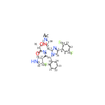 CC(=O)N1CC([C@H](c2nc(-c3cc(F)ccc3F)cn2Cc2ccccc2)N(C[C@@H]2CNC[C@@H]2F)C(=O)[C@H](C)O)C1